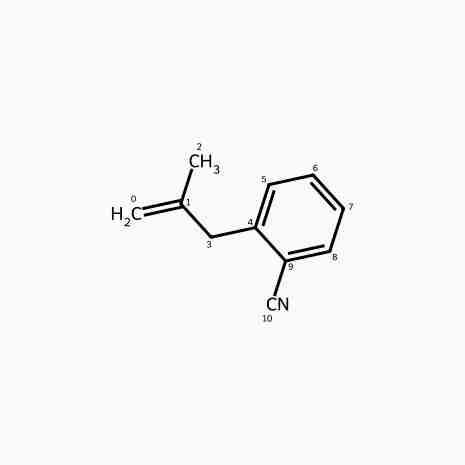 C=C(C)Cc1ccccc1C#N